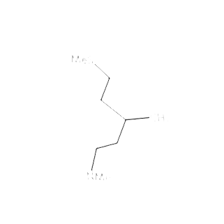 CNCCC(C)CCSC